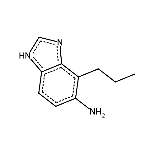 CCCc1c(N)ccc2[nH]cnc12